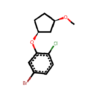 CO[C@@H]1CC[C@H](Oc2cc(Br)ccc2Cl)C1